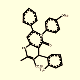 CCOC(=O)C1=C(C)Nc2cc(-c3ccccc3)n(-c3ccc(OC)cc3)c(=O)c2C1c1ccccc1C(F)(F)F